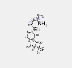 C=CC(C)(Cc1cccc(C(=C)/C=C\C(N)=C\C)c1)C(C)(C)F